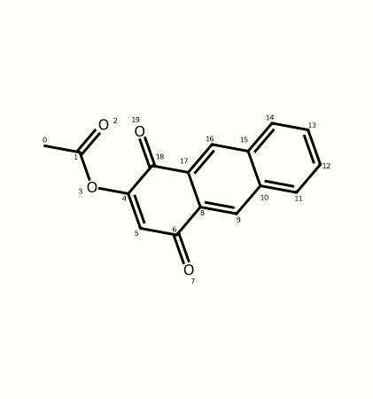 CC(=O)OC1=CC(=O)c2cc3ccccc3cc2C1=O